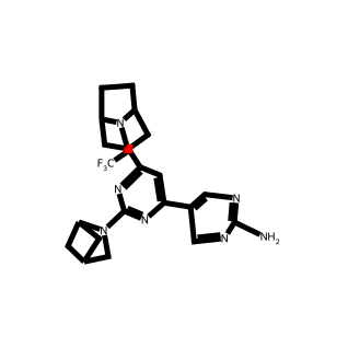 Nc1ncc(-c2cc(C3CC4CCC(C3)N4CC(F)(F)F)nc(N3CC4CC3C4)n2)cn1